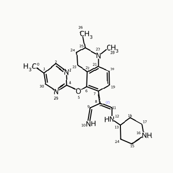 Cc1cnc(Oc2c(/C(C=N)=C/NC3CCNCC3)ccc3c2CCC(C)N3C)nc1